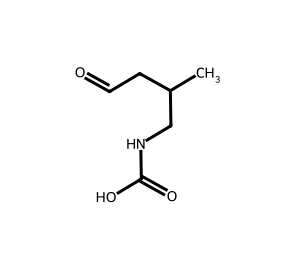 CC(CC=O)CNC(=O)O